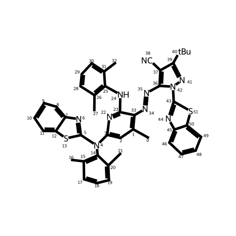 Cc1cc(N(c2nc3ccccc3s2)c2c(C)cccc2C)nc(Nc2c(C)cccc2C)c1/N=N/c1c(C#N)c(C(C)(C)C)nn1-c1nc2ccccc2s1